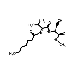 C#C[C@H](NC(=O)[C@@H](NC(=O)CCCCCC)C(C)C)C(=O)NC